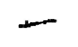 CNCCCCOCCCCCCCCOCCOCCOCCOCCNC=O